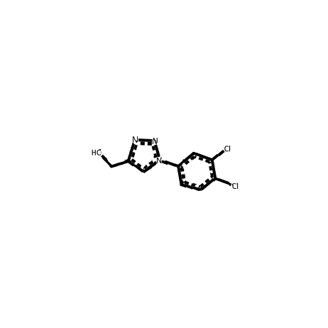 OCc1cn(-c2ccc(Cl)c(Cl)c2)nn1